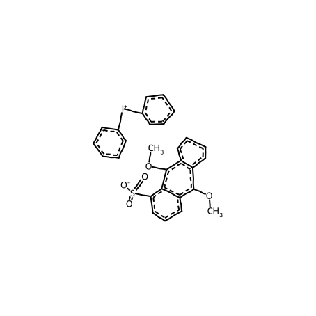 COc1c2ccccc2c(OC)c2c(S(=O)(=O)[O-])cccc12.c1ccc([I+]c2ccccc2)cc1